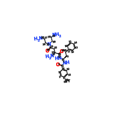 CC(C)c1ccc(C(=O)N[C@H](CCc2ccccc2)NC(=O)[C@@H](N)CC(=O)N(CCN)CCN)cc1